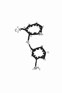 Nc1[c]c(Oc2ncccc2[N+](=O)[O-])ccc1